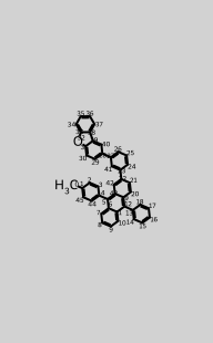 Cc1ccc(-c2c3ccccc3c(-c3ccccc3)c3ccc(-c4cccc(-c5ccc6oc7ccccc7c6c5)c4)cc23)cc1